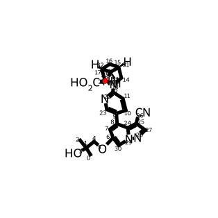 CC(C)(O)COc1cc(-c2ccc(N3C[C@H]4C[C@@H](C3)[C@H]4NC(=O)O)nc2)c2c(C#N)cnn2c1